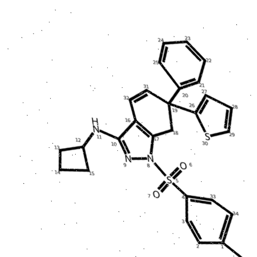 Cc1ccc(S(=O)(=O)n2nc(NC3CCC3)c3c2CC(c2ccccc2)(c2cccs2)C=C3)cc1